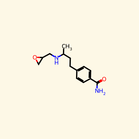 CC(CCc1ccc(C(N)=O)cc1)NCC1CO1